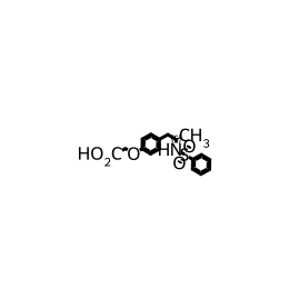 C[C@@H](Cc1ccc(OCC(=O)O)cc1)NS(=O)(=O)c1ccccc1